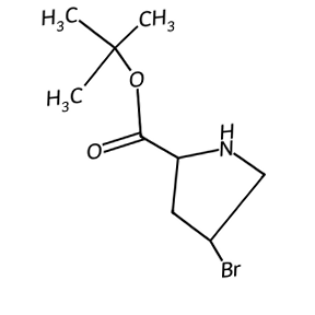 CC(C)(C)OC(=O)C1CC(Br)CN1